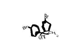 C=CC(O)(c1ccc(Br)cc1)c1ccc(Br)cc1